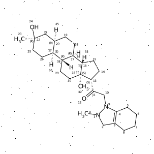 CN1CC2=C(CCCC2)N1CC(=O)[C@H]1CC[C@H]2[C@@H]3CC[C@@H]4C[C@](C)(O)CC[C@@H]4[C@H]3CC[C@]12C